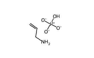 C=CCN.[O-][I+3]([O-])([O-])O